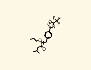 CCCON(Cc1ccc(-c2noc(C(F)(F)F)n2)cc1)C(=O)CC(C)C